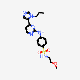 CCCn1cncc1-c1ccnc(Nc2ccc(S(=O)(=O)NCCOC)cc2)n1